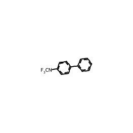 FC(F)(F)Nc1ccc(-c2ccccc2)cc1